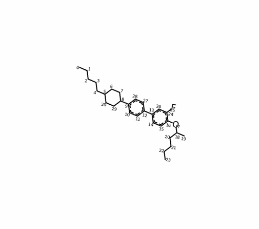 CCCCCC1CCC(c2ccc(-c3ccc(OC(C)CCCC)c(F)c3)cc2)CC1